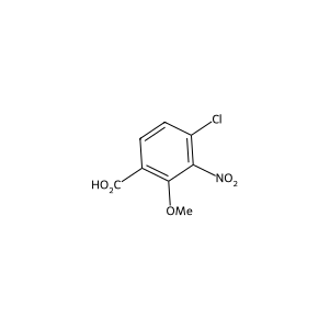 COc1c(C(=O)O)ccc(Cl)c1[N+](=O)[O-]